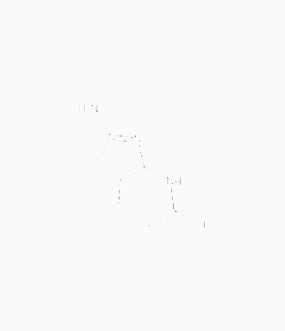 CC(=O)Nc1nc(N)sc1Cl